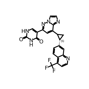 O=c1[nH]cc(-c2cc(C3C[C@@H]3c3ccc4c(C(F)(F)F)ccnc4c3)c3nccn3n2)c(=O)[nH]1